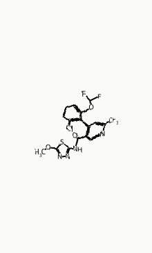 COc1nnc(NC(=O)c2cnc(C)cc2-c2c(Cl)cccc2OC(F)F)s1